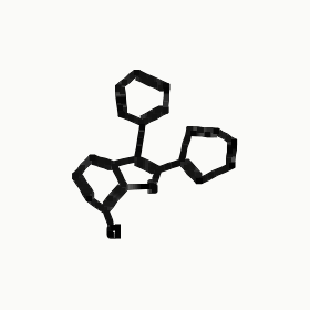 Clc1cccc2c(-c3ccccc3)c(-c3ccccc3)sc12